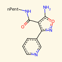 CCCCCNC(=O)c1c(-c2cccnc2)noc1N